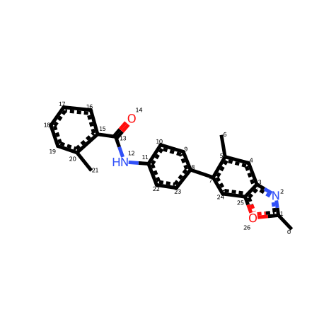 Cc1nc2cc(C)c(-c3ccc(NC(=O)c4ccccc4C)cc3)cc2o1